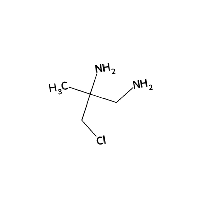 CC(N)(CN)CCl